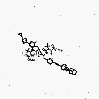 COC(=O)N[C@H](C(=O)N[C@@H](Cc1ccc(C#Cc2ccc(N3CC4CCC(C3)N4C3COC3)nc2)cc1)[C@@H](O)CN(Cc1c(F)cc(-c2ccn(C3CC3)n2)cc1F)NC(=O)[C@@H](NC(=O)OC)C(C)(C)C(F)(F)F)C(C)(C)C(F)(F)F